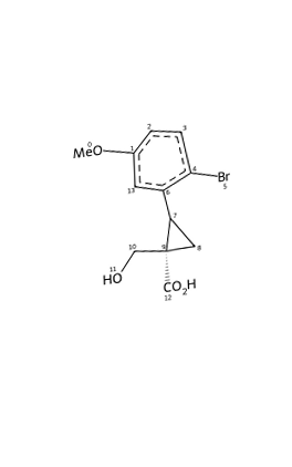 COc1ccc(Br)c(C2C[C@]2(CO)C(=O)O)c1